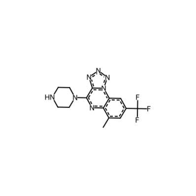 Cc1cc(C(F)(F)F)cc2c1nc(N1CCNCC1)c1nnnn12